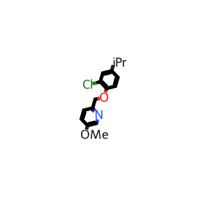 COc1ccc(COc2ccc(C(C)C)cc2Cl)nc1